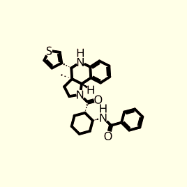 C[C@@]12CCN(C(=O)[C@H]3CCCC[C@H]3NC(=O)c3ccccc3)[C@H]1c1ccccc1N[C@H]2c1ccsc1